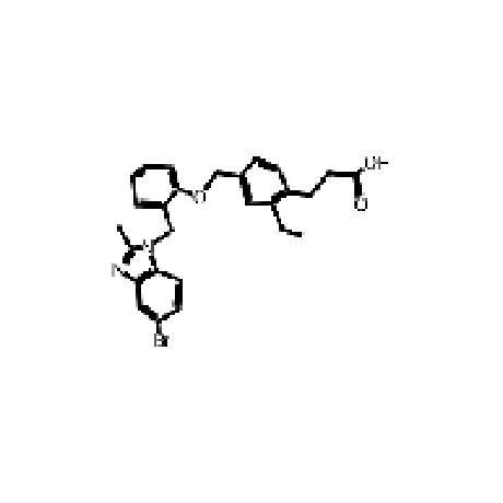 CCc1cc(COc2ccccc2Cn2c(C)nc3cc(Br)ccc32)ccc1CCC(=O)O